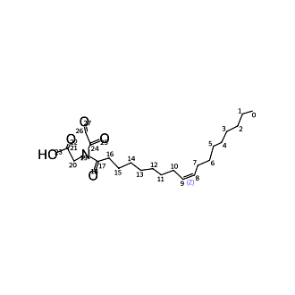 CCCCCCCC/C=C\CCCCCCCC(=O)N(CC(=O)O)C(=O)C=O